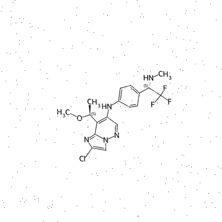 CN[C@@H](c1ccc(Nc2cnn3cc(Cl)nc3c2[C@H](C)OC)cc1)C(F)(F)F